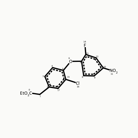 CCOC(=O)Cc1ccc(Oc2ccc([N+](=O)[O-])cc2F)c(Cl)c1